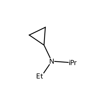 CCN(C(C)C)C1CC1